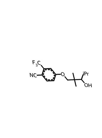 CC(C)C(O)C(C)(C)COc1ccc(C#N)c(C(F)(F)F)c1